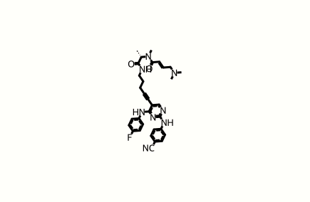 C[C@@H](C(=O)NCCCC#Cc1cnc(Nc2ccc(C#N)cc2)nc1Nc1ccc(F)cc1)N(C)C(=O)C=CCN(C)C